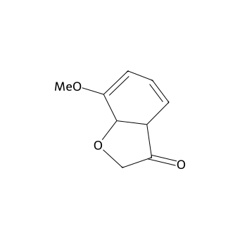 COC1=CC=CC2C(=O)COC12